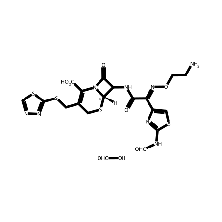 NCCON=C(C(=O)NC1C(=O)N2C(C(=O)O)=C(CSc3nncs3)CS[C@@H]12)c1csc(NC=O)n1.O=CO